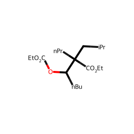 CCCCC(OC(=O)OCC)C(CCC)(CC(C)C)C(=O)OCC